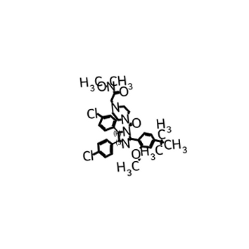 CCOc1cc(C(C)(C)C)ccc1C1=N[C@@H](c2ccc(Cl)cc2)[C@@H](c2ccc(Cl)cc2)N1C(=O)N1CCN(CC(=O)N(C)OC)CC1